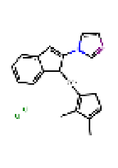 CC1=CC[C]([Zr+2][CH]2C(n3ccpc3)=Cc3ccccc32)=C1C.[Cl-].[Cl-]